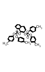 Cc1ccc(OP(=O)(Oc2ccc(C)cc2)Oc2ccc3ccccc3c2OP(=O)(Oc2ccc(C)cc2)Oc2ccc(C)cc2)cc1